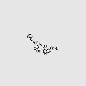 COc1ccc2nccc(C(=O)CCC3CCN(CCSc4nccs4)CC3CC(=O)O)c2c1